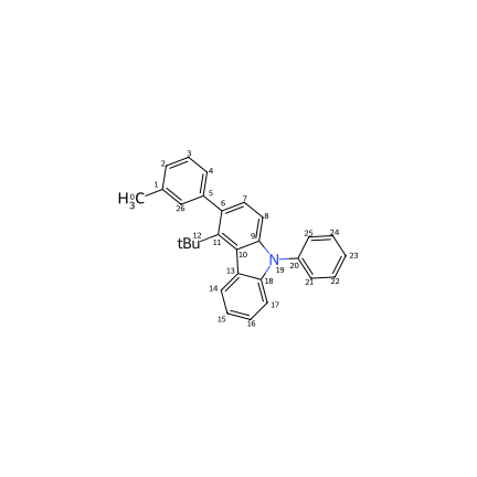 Cc1cccc(-c2ccc3c(c2C(C)(C)C)c2ccccc2n3-c2ccccc2)c1